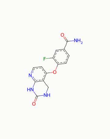 NC(=O)c1ccc(Oc2ccnc3c2CNC(=O)N3)c(F)c1